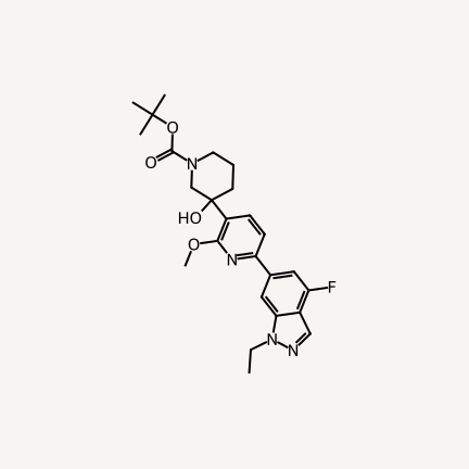 CCn1ncc2c(F)cc(-c3ccc(C4(O)CCCN(C(=O)OC(C)(C)C)C4)c(OC)n3)cc21